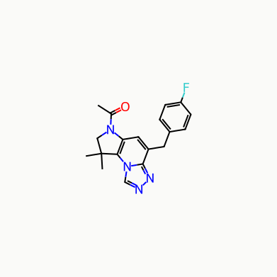 CC(=O)N1CC(C)(C)c2c1cc(Cc1ccc(F)cc1)c1nncn21